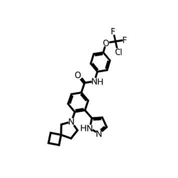 O=C(Nc1ccc(OC(F)(F)Cl)cc1)c1ccc(N2CCC3(CCC3)C2)c(-c2ccn[nH]2)c1